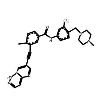 Cc1ccc(C(=O)Nc2ccc(CN3CCN(C)CC3)c(C(F)(F)F)c2)cc1C#CC1=CN2NN=CC=C2N=C1